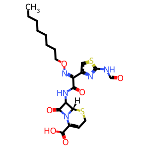 CCCCCCCCON=C(C(=O)NC1C(=O)N2C(C(=O)O)=CCS[C@@H]12)c1csc(NC=O)n1